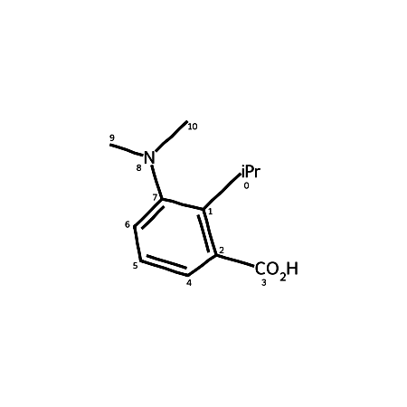 CC(C)c1c(C(=O)O)cccc1N(C)C